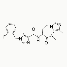 Cc1ncn2c1N(C)C(=O)C(NC(=O)c1ncn(Cc3ccccc3F)n1)CC2